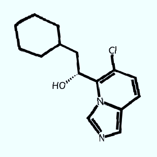 O[C@H](CC1CCCCC1)c1c(Cl)ccc2cncn12